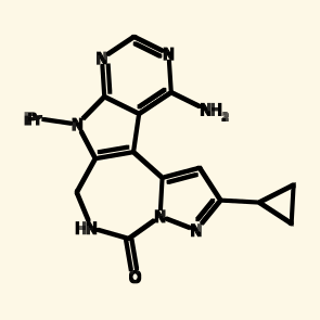 CC(C)n1c2c(c3c(N)ncnc31)-c1cc(C3CC3)nn1C(=O)NC2